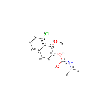 CO[C@H]1c2c(Cl)cccc2CC[C@H]1OC(=O)NC(C)C